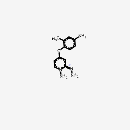 Cc1cc(N)ccc1Oc1ccn(N)/c(=N\N)c1